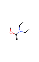 C=C(OC)N(CC)CC